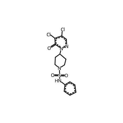 O=c1c(Cl)c(Cl)cnn1C1CCN(S(=O)(=O)Nc2ccccc2)CC1